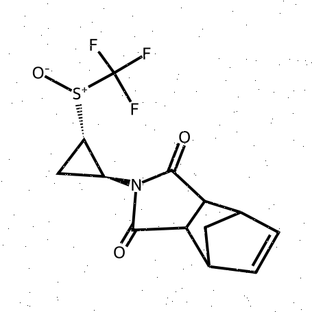 O=C1C2C3C=CC(C3)C2C(=O)N1[C@H]1C[C@@H]1[S+]([O-])C(F)(F)F